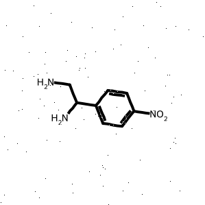 NCC(N)c1ccc([N+](=O)[O-])cc1